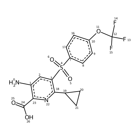 Nc1cc(S(=O)(=O)c2ccc(OC(F)(F)F)cc2)c(C2CC2)nc1C(=O)O